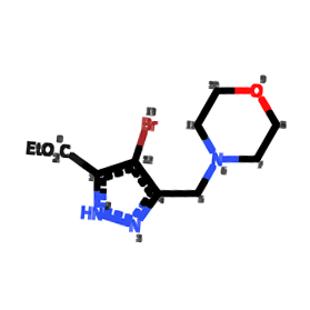 CCOC(=O)c1[nH]nc(CN2CCOCC2)c1Br